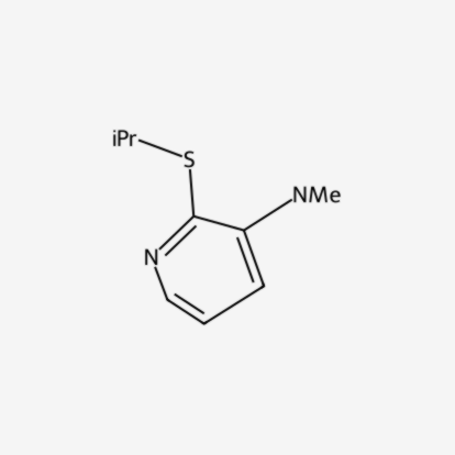 CNc1cccnc1SC(C)C